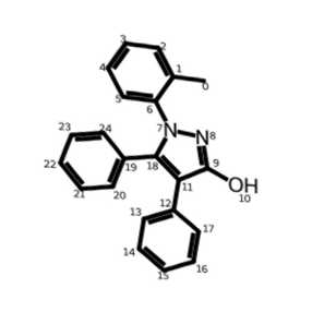 Cc1ccccc1-n1nc(O)c(-c2ccccc2)c1-c1ccccc1